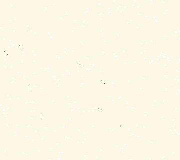 Cc1nc(NC(C)c2cccc(C(F)(F)F)c2C)c2cc(P=O)c(Nc3cnn(C)c3)cc2n1